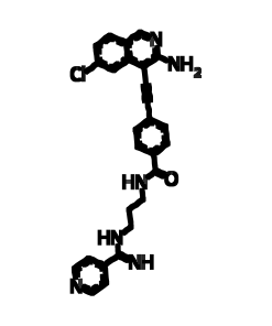 N=C(NCCCNC(=O)c1ccc(C#Cc2c(N)ncc3ccc(Cl)cc23)cc1)c1ccncc1